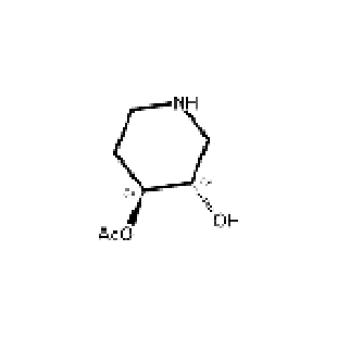 CC(=O)O[C@H]1CCNC[C@@H]1O